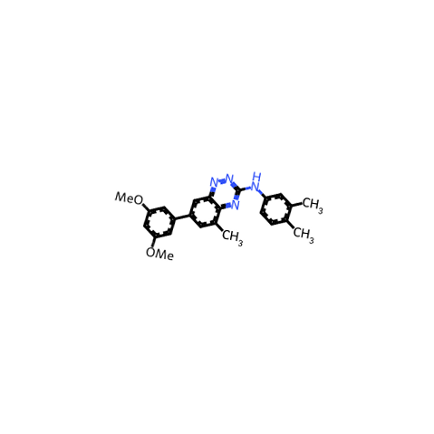 COc1cc(OC)cc(-c2cc(C)c3nc(Nc4ccc(C)c(C)c4)nnc3c2)c1